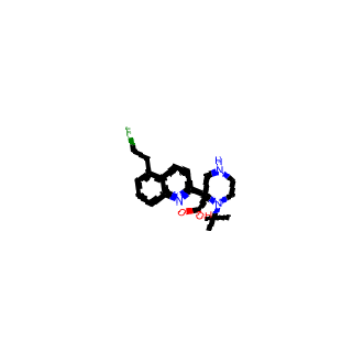 CC(C)(C)N1CCNCC1(C(=O)O)c1ccc2c(CCF)cccc2n1